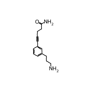 NCCCc1cccc(C#CCCC(N)=O)c1